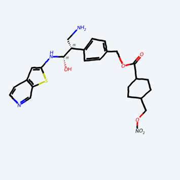 NC[C@H](c1ccc(COC(=O)C2CCC(CO[N+](=O)[O-])CC2)cc1)[C@H](O)Nc1cc2ccncc2s1